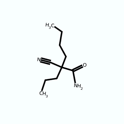 CCCCC(C#N)(CCC)C(N)=O